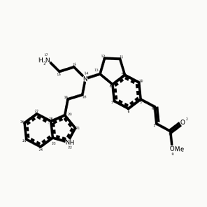 COC(=O)C=Cc1ccc2c(c1)CCC2N(CCN)CCc1c[nH]c2ccccc12